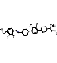 CCOc1ccc(/C=C/C2CCC(c3ccc(C4CCC(C(C)O)CC4)c(F)c3F)CC2)c(F)c1F